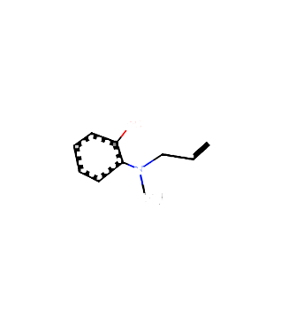 C=CCN(C(=O)OCC)c1ccccc1O